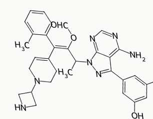 Cc1ccccc1/C(C1=CCN(C2CNC2)CC1)=C(\OC=O)C(C)n1nc(-c2cc(O)cc(F)c2)c2c(N)ncnc21